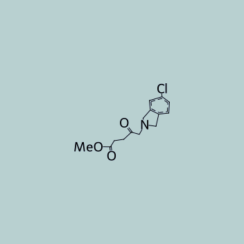 COC(=O)CCC(=O)CN1Cc2ccc(Cl)cc2C1